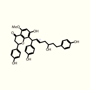 COc1cc(O)c(C(/C=C/CC(O)CCc2ccc(O)cc2)c2ccc(O)cc2)c2c1C(=O)CC(c1ccc(O)cc1)O2